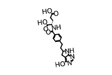 O=C(O)CC[C@H](NC(=O)c1ccc(CCC2Cc3c(O)ncnc3N2)cc1)C(=O)O